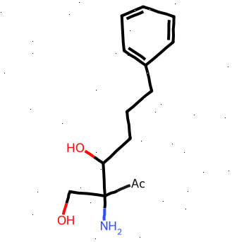 CC(=O)C(N)(CO)C(O)CCCc1ccccc1